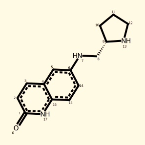 O=c1ccc2cc(NC[C@@H]3CCCN3)ccc2[nH]1